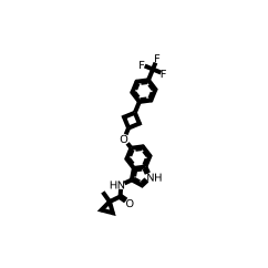 CC1(C(=O)Nc2c[nH]c3ccc(OC4CC(c5ccc(C(F)(F)F)cc5)C4)cc23)CC1